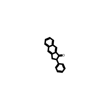 O=C1c2cc3ccccc3cc2CC1c1ccccc1